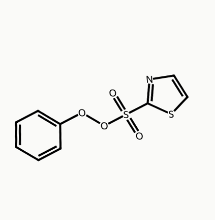 O=S(=O)(OOc1ccccc1)c1nccs1